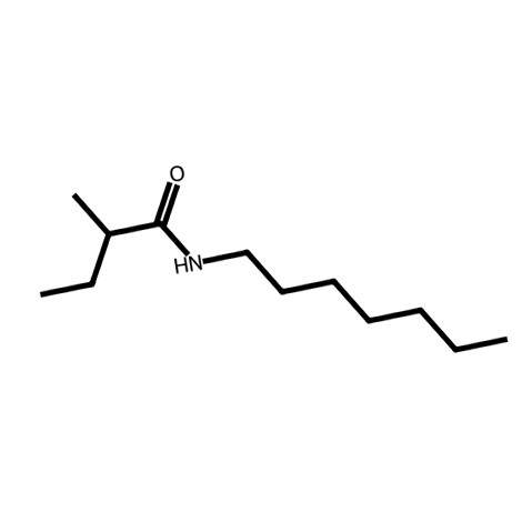 CCCCCCCNC(=O)C(C)CC